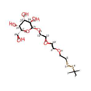 CC(C)(C)SSCCOCCOCCO[C@H]1O[C@H](CO)[C@H](O)[C@H](O)[C@H]1O